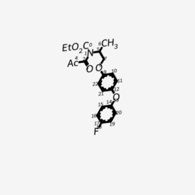 CCOC(=O)N(C(=O)C(C)=O)C(C)COc1ccc(Oc2ccc(F)cc2)cc1